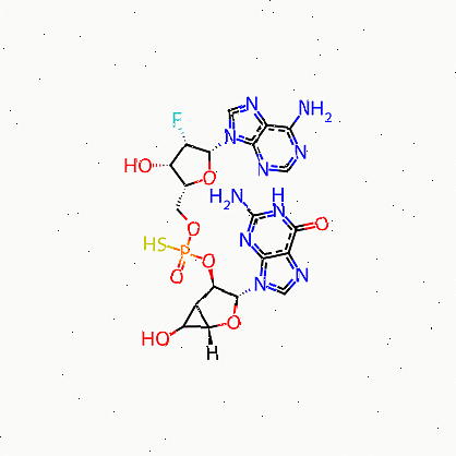 Nc1nc2c(ncn2[C@@H]2O[C@@H]3C(O)C3[C@H]2OP(=O)(S)OC[C@H]2O[C@@H](n3cnc4c(N)ncnc43)[C@@H](F)[C@H]2O)c(=O)[nH]1